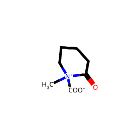 C[N+]1(C(=O)[O-])CCCCC1=O